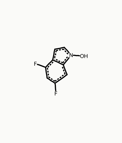 On1ccc2c(F)cc(F)cc21